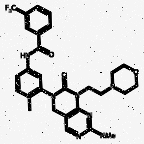 CNc1ncc2c(n1)N(CCN1CCOCC1)C(=O)N(c1cc(NC(=O)c3cccc(C(F)(F)F)c3)ccc1C)C2